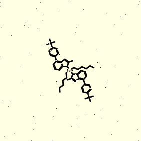 CCCCC[CH2][Ge]([CH2]CCCCC)([CH]1C(C)=Cc2c(-c3ccc(C(C)(C)C)cc3)cccc21)[CH]1C(C)=Cc2c(-c3ccc(C(C)(C)C)cc3)cccc21